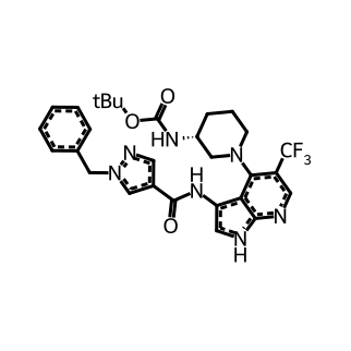 CC(C)(C)OC(=O)N[C@@H]1CCCN(c2c(C(F)(F)F)cnc3[nH]cc(NC(=O)c4cnn(Cc5ccccc5)c4)c23)C1